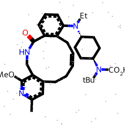 CCN(c1cccc2c1CC=CCCc1cc(C)nc(OC)c1CNC2=O)[C@H]1CC[C@H](N(C(=O)O)C(C)(C)C)CC1